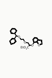 CCOC(=O)C(COCCOC(c1ccccc1)c1ccccc1)Oc1cccc2ccoc12